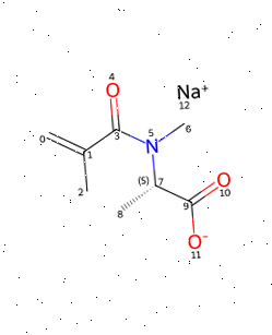 C=C(C)C(=O)N(C)[C@@H](C)C(=O)[O-].[Na+]